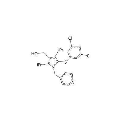 CC(C)c1c(CO)c(C(C)C)n(Cc2ccncc2)c1Sc1cc(Cl)cc(Cl)c1